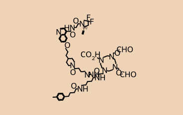 C#C[C@H]1CC(F)(F)CN1C(=O)CNC(=O)c1ccnc2ccc(OCCCC3CCN(C(=O)CCC=NNC(CCCCNC(=O)CCCc4ccc(C)cc4)NC(=O)CN4CCN(COC=O)CCN(COC=O)CCN(CC(=O)O)CC4)CC3)cc12